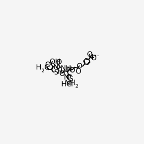 C=CC1=C(C(=O)O)N2C(=O)C(NC(=O)C(=NOCC(=O)OCc3ccc([N+](=O)[O-])cc3)c3csc(N)n3)[C@@H]2SC1.Cl